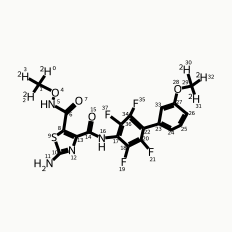 [2H]C([2H])([2H])ONC(=O)c1sc(N)nc1C(=O)Nc1c(F)c(F)c(-c2cccc(OC([2H])([2H])[2H])c2)c(F)c1F